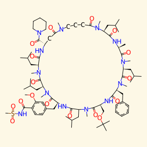 COc1cc(C[C@@H]2NC(=O)C(CC(C)C)N(C)C(=O)[C@H](COC(C)(C)C)NC(=O)[C@H](Cc3ccccc3)N(C)C(=O)[C@H](CC(C)C)N(C)C(=O)[C@H](C)NC(=O)[C@H](CC(C)C)N(C)C(=O)CCCN(C)C(=O)C[C@@H](C(=O)N3CCCCC3)NC(=O)[C@H](CC(C)C)N(C)C(=O)[C@H](CC(C)C)N(C)C2=O)ccc1C(=O)NS(C)(=O)=O